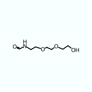 O=CNCCOCCOCCO